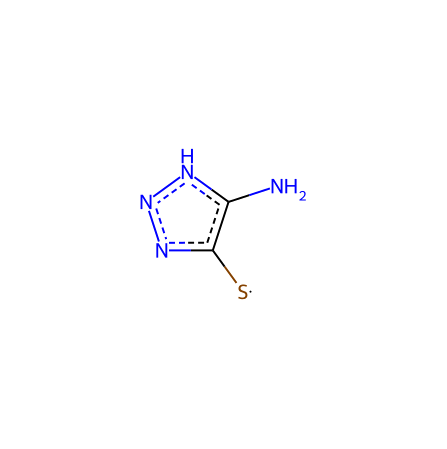 Nc1[nH]nnc1[S]